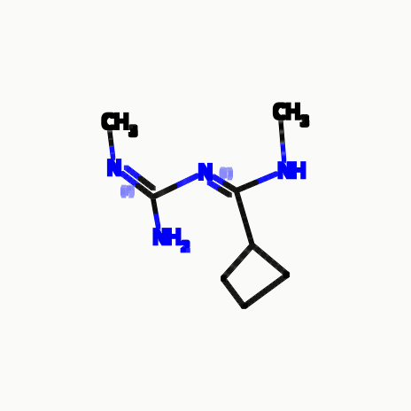 C/N=C(N)\N=C(\NC)C1CCC1